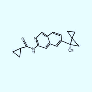 N#C[C@@]1(c2ccc3cnc(NC(=O)C4CC4)cc3c2)CC12CC2